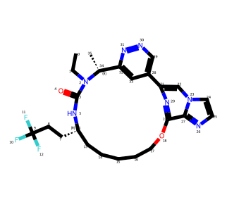 CCN1C(=O)N[C@@H](CCC(F)(F)F)CCCCCOc2nc(cn3ccnc23)-c2cnnc(c2)[C@H]1C